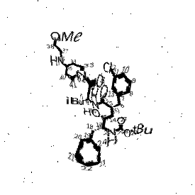 CC[C@H](C)[C@H](NC(=O)[C@@H](Cc1cccc(Cl)c1)C[C@H](O)[C@@H](Cc1ccccc1)NC(=O)OC(C)(C)C)C(=O)N1CCC(NCCOC)CC1